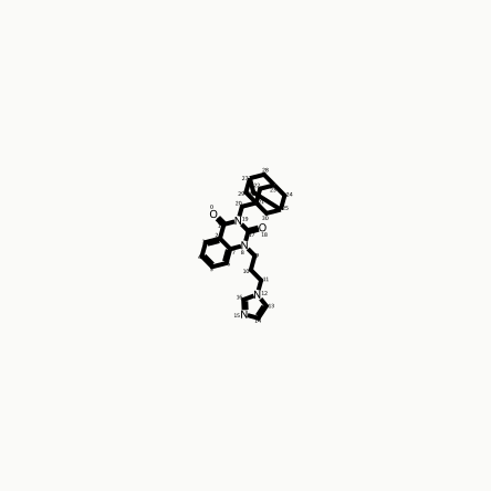 O=c1c2ccccc2n(CCCn2ccnc2)c(=O)n1CC12CC3CC(CC(C3)C1)C2